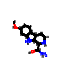 COc1ccc2c(c1)[nH]c1c(C(N)=O)nccc12